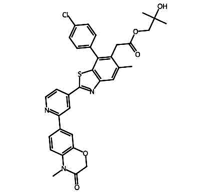 Cc1cc2nc(-c3ccnc(-c4ccc5c(c4)OCC(=O)N5C)c3)sc2c(-c2ccc(Cl)cc2)c1CC(=O)OCC(C)(C)O